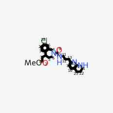 COC(=O)CC1CCN(C(=O)NCCCc2ccc3c(n2)NCCC3)Cc2cc(Cl)ccc21